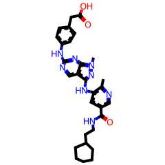 Cc1ncc(C(=O)NCCC2CCCCC2)cc1Nc1nn(C)c2nc(Nc3ccc(CC(=O)O)cc3)ncc12